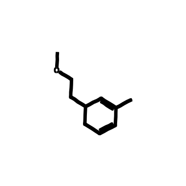 COCCC1C=C(C)C=CC1